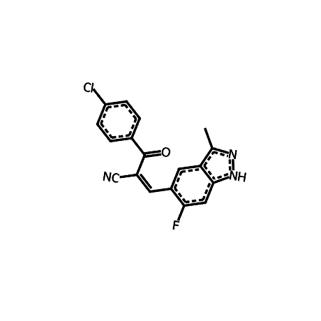 Cc1n[nH]c2cc(F)c(/C=C(/C#N)C(=O)c3ccc(Cl)cc3)cc12